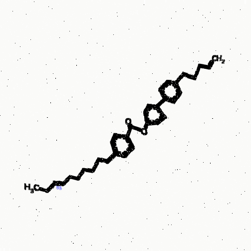 C=CCCCc1ccc(-c2ccc(OC(=O)c3ccc(CCCCCC/C=C/CC)cc3)cc2)cc1